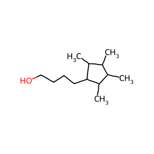 CC1C(C)C(C)C(CCCCO)C1C